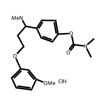 CNC(CCOc1cccc(OC)c1)c1ccc(OC(=O)N(C)C)cc1.Cl